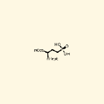 CCCCCCCCC(CCCCCCC)CCP(=O)(O)O